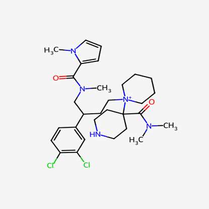 CN(C)C(=O)C1([N+]2(CCC(CN(C)C(=O)c3cccn3C)c3ccc(Cl)c(Cl)c3)CCCCC2)CCNCC1